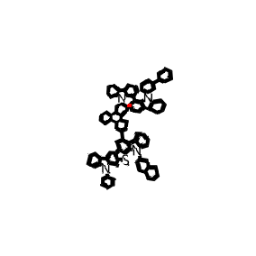 c1ccc(-c2cccc(-n3c4ccccc4c4cccc(-c5cccc6c7ccccc7n(-c7ccc8c9ccc(-c%10cc%11c%12cc%13c%14ccccc%14n(-c%14ccccc%14)c%13cc%12sc%11c%11c%10c%10ccccc%10n%11-c%10ccc%11ccccc%11c%10)cc9c9ccccc9c8c7)c56)c43)c2)cc1